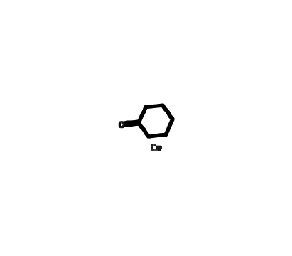 O=C1CCCCC1.[Cu]